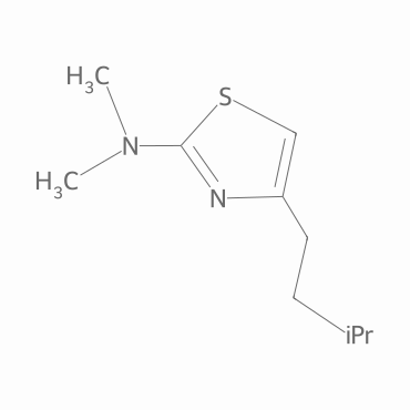 CC(C)CCc1csc(N(C)C)n1